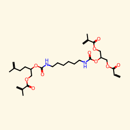 C=CC(=O)OCC(COC(=O)C(=C)C)OC(=O)NCCCCCCNC(=O)OC(CCC(=C)C)COC(=O)C(=C)C